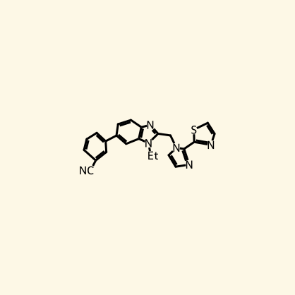 CCn1c(Cn2ccnc2-c2nccs2)nc2ccc(-c3cccc(C#N)c3)cc21